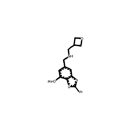 COc1cc(CNCC2COC2)cc2nc(C(C)C)oc12